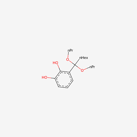 CCCCCCC(OCCC)(OCCC)c1cccc(O)c1O